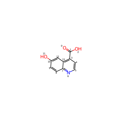 O=C(O)c1ccnc2ccc(O)cc12